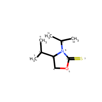 CC(C)C1COC(=S)N1C(C)C